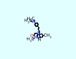 CC=[N+]1C(=O)C=CC2=C1C[C@H]1C=C(C)C[C@]2(N=CC=Cc2ccc(N(CC)CC)cc2)C1